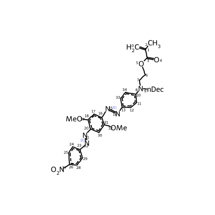 C=C(C)C(=O)OCCN(CCCCCCCCCC)c1ccc(/N=N/c2cc(OC)c(/N=N/c3ccc([N+](=O)[O-])cc3)cc2OC)cc1